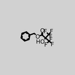 O=C(OCc1ccccc1)C(O)(C(F)(F)F)C(F)(F)F